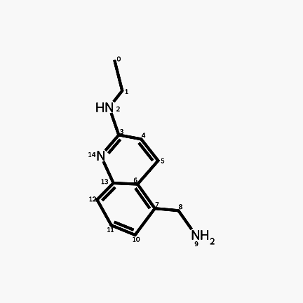 CCNc1ccc2c(CN)cccc2n1